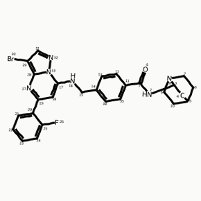 O=C(NC1CC2CCN1CC2)c1ccc(CNc2cc(-c3ccccc3F)nc3c(Br)cnn23)cc1